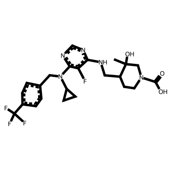 CC1(O)CN(C(=O)O)CCC1CNc1ncnc(N(Cc2ccc(C(F)(F)F)cc2)C2CC2)c1F